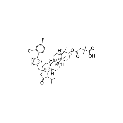 CC(C)C1=C2[C@H]3CC[C@@H]4[C@@]5(C)CC[C@H](OC(=O)CC(C)(C)C(=O)O)C(C)(C)[C@@H]5CC[C@@]4(C)[C@]3(C)CC[C@@]2(Cc2nnc(-c3ccc(F)cc3Cl)o2)CC1=O